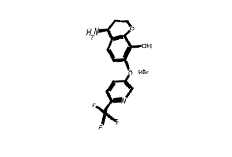 Br.NC1CCOc2c1ccc(Oc1ccc(C(F)(F)F)nc1)c2O